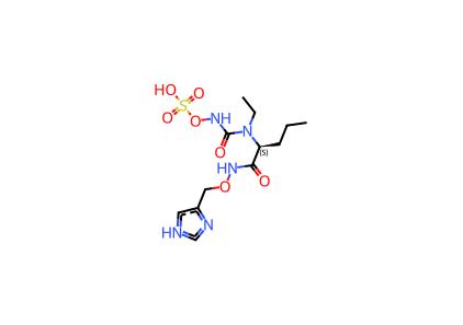 CCC[C@@H](C(=O)NOCc1c[nH]cn1)N(CC)C(=O)NOS(=O)(=O)O